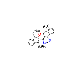 Cc1c2c(c(CC(C)(C)C)c3ccccc13)Oc1cc3c(C)cccc3c3nc[n+](C)c-2c13